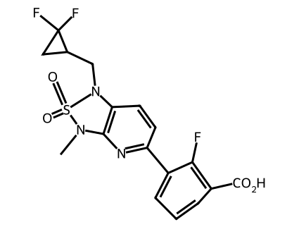 CN1c2nc(-c3cccc(C(=O)O)c3F)ccc2N(CC2CC2(F)F)S1(=O)=O